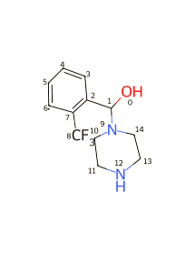 OC(c1ccc[c]c1C(F)(F)F)N1CCNCC1